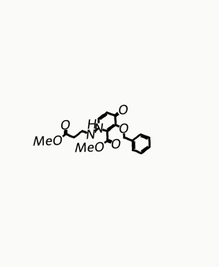 COC(=O)CCNn1ccc(=O)c(OCc2ccccc2)c1C(=O)OC